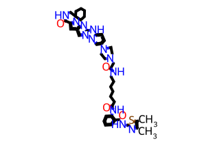 Cc1nc(NC(=O)c2ccccc2NC(=O)CCCCCCNC(=O)CN2CCN(c3ccc(Nc4ncc5cc6n(c5n4)C4(CCCCC4)CNC6=O)nc3)CC2)sc1C